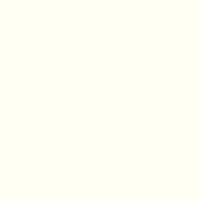 CS(=O)(=O)CC1C2CNCC21